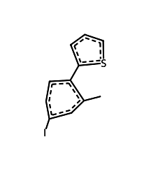 Cc1cc(I)ccc1-c1cccs1